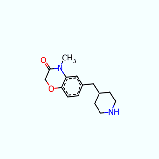 CN1C(=O)COc2ccc(CC3CCNCC3)cc21